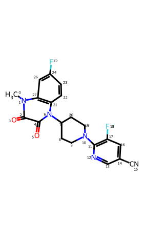 Cn1c(=O)c(=O)n(C2CCN(c3ncc(C#N)cc3F)CC2)c2ccc(F)cc21